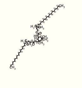 CCCCCCCCCCCCCCCC[N+](C)(C)CCOC(=O)NCC1(C)CC(NC(=O)OCC[N+](C)(C)CCCCCCCCCCCCCCCC)CC(C)(C)C1